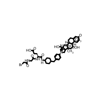 C[C@]12C=CC(=O)C=C1CC[C@@H]1[C@@H]2[C@@H](O)C[C@@]2(C)[C@H]1C[C@H]1CN(c3ccc(CC4CCC(NC(=O)[C@H](CCC(=O)O)NC(=O)CNC(=O)CBr)CC4)cc3)C[C@]12C(=O)CO